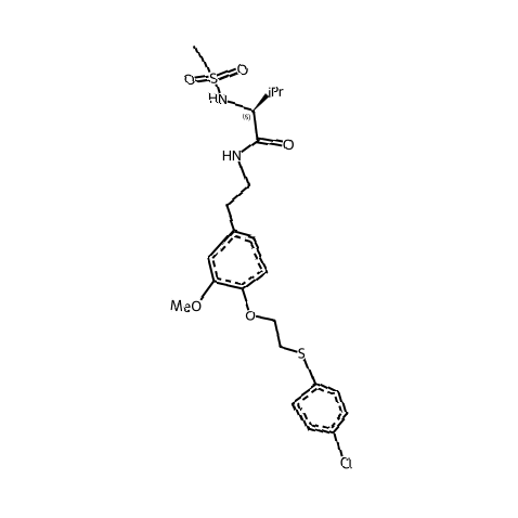 COc1cc(CCNC(=O)[C@@H](NS(C)(=O)=O)C(C)C)ccc1OCCSc1ccc(Cl)cc1